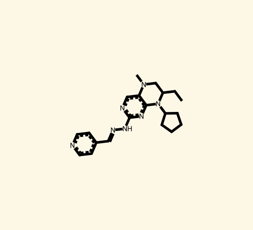 CCC1CN(C)c2cnc(N/N=C/c3ccncc3)nc2N1C1CCCC1